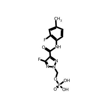 Cc1ccc(NC(=O)c2nn(COP(=O)(O)O)nc2F)c(F)c1